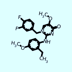 CCc1cc(OC)ccc1Nc1nc(=O)c(OC)cn1Cc1ccc(F)c(F)c1